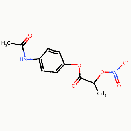 CC(=O)Nc1ccc(OC(=O)C(C)O[N+](=O)[O-])cc1